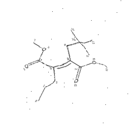 CCCC(C(=O)OC)=C(CC(C)(C)C)C(=O)OC